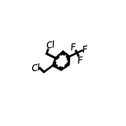 FC(F)(F)c1ccc(CCl)c(CCl)c1